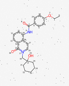 CCOc1ccc(C(=O)Nc2cccc3c(=O)n(CC4(O)CCCCC4)ccc23)cc1